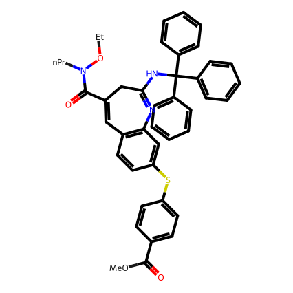 CCCN(OCC)C(=O)C1=Cc2ccc(Sc3ccc(C(=O)OC)cc3)cc2N=C(NC(c2ccccc2)(c2ccccc2)c2ccccc2)C1